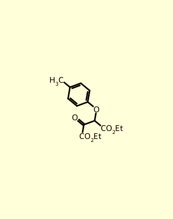 CCOC(=O)C(=O)C(Oc1ccc(C)cc1)C(=O)OCC